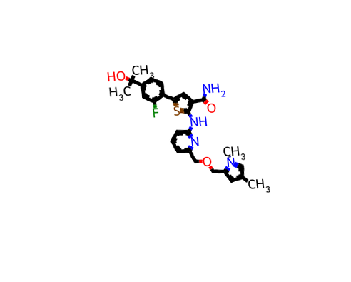 Cc1cc(COCc2cccc(Nc3sc(-c4ccc(C(C)(C)O)cc4F)cc3C(N)=O)n2)n(C)c1